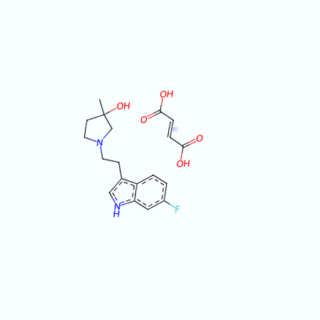 CC1(O)CCN(CCc2c[nH]c3cc(F)ccc23)C1.O=C(O)/C=C/C(=O)O